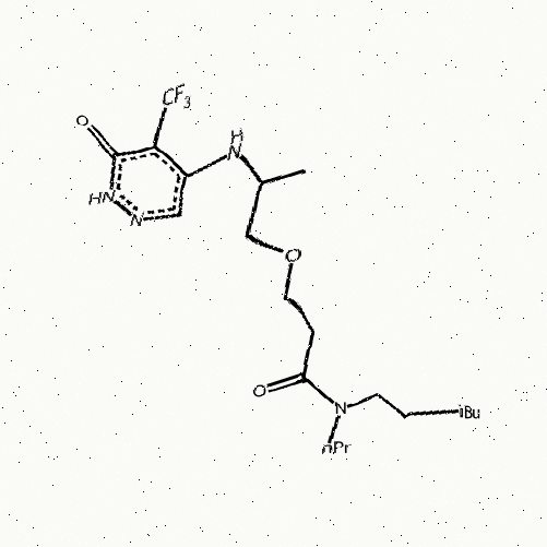 CCCN(CCC(C)CC)C(=O)CCOCC(C)Nc1cn[nH]c(=O)c1C(F)(F)F